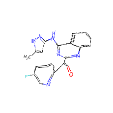 Cc1cc(Nc2nc(C(=O)c3ccc(F)cn3)nc3ccccc23)n[nH]1